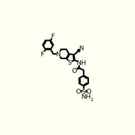 N#Cc1c(NC(=O)Cc2ccc(S(N)(=O)=O)cc2)sc2c1CCN(Cc1cc(F)ccc1F)C2